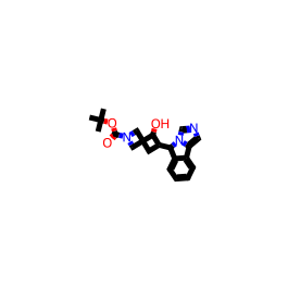 CC(C)(C)OC(=O)N1CC2(CC(C3c4ccccc4-c4cncn43)C2O)C1